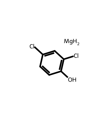 Oc1ccc(Cl)cc1Cl.[MgH2]